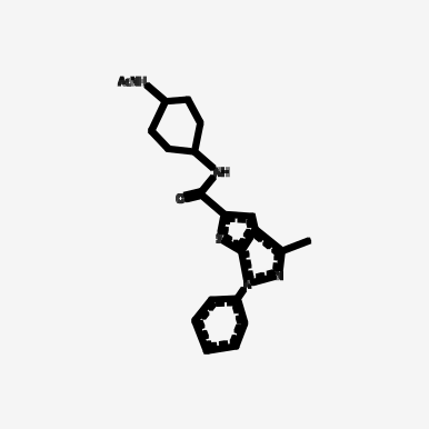 CC(=O)NC1CCC(NC(=O)c2cc3c(C)nn(-c4ccccc4)c3s2)CC1